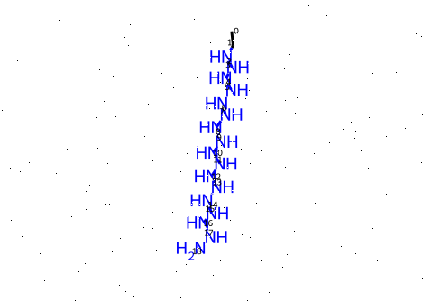 CCNNNNNNNNNNNNNNNNN